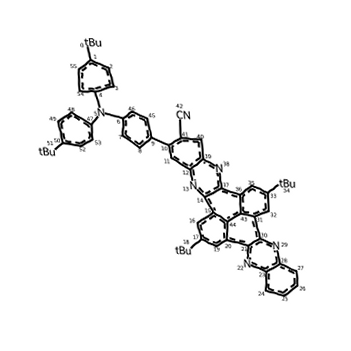 CC(C)(C)c1ccc(N(c2ccc(-c3cc4nc5c6cc(C(C)(C)C)cc7c8nc9ccccc9nc8c8cc(C(C)(C)C)cc(c5nc4cc3C#N)c8c76)cc2)c2ccc(C(C)(C)C)cc2)cc1